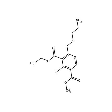 CCOC(=O)c1c(CSCCN)ccc(C(=O)OC)c1Cl